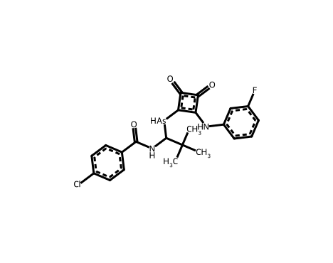 CC(C)(C)C(NC(=O)c1ccc(Cl)cc1)[AsH]c1c(Nc2cccc(F)c2)c(=O)c1=O